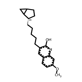 COc1ccc2cc(CCCCC[C@H]3CCC4CC43)c(O)nc2c1